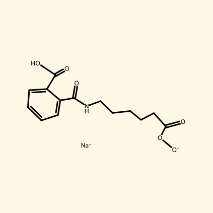 O=C(CCCCCNC(=O)c1ccccc1C(=O)O)O[O-].[Na+]